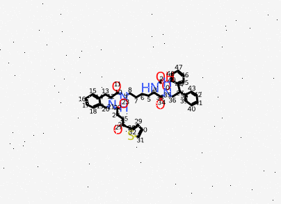 O=C(O)NC(CCCCNC(=O)C1Cc2ccccc2CN1C(=O)CCC(=O)c1cccs1)C(=O)NCC(c1ccccc1)c1ccccc1